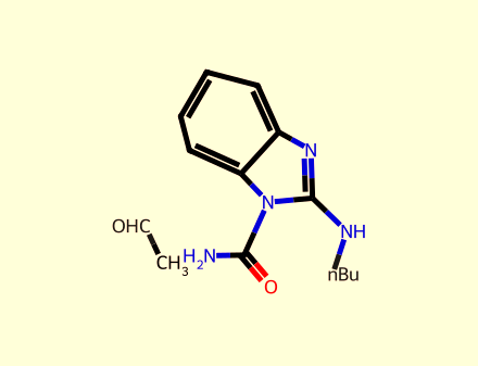 CC=O.CCCCNc1nc2ccccc2n1C(N)=O